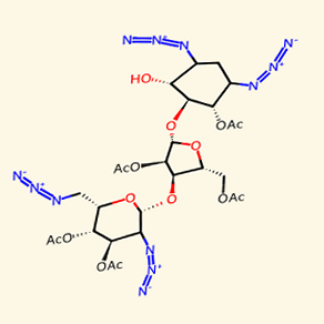 CC(=O)OC[C@H]1O[C@@H](O[C@H]2[C@H](O)C(N=[N+]=[N-])CC(N=[N+]=[N-])[C@@H]2OC(C)=O)[C@H](OC(C)=O)[C@@H]1O[C@H]1O[C@@H](CN=[N+]=[N-])[C@@H](OC(C)=O)[C@H](OC(C)=O)C1N=[N+]=[N-]